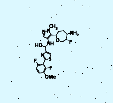 COc1ccc(F)c(-c2nc(C(O)Nc3cnn(C)c3[C@@H]3CC[C@@H](N)[C@H](F)CO3)cs2)c1F